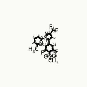 Cc1cccc(-n2nc(C(F)F)cc2-c2cc(F)c(S(C)(=O)=O)c(F)c2)n1